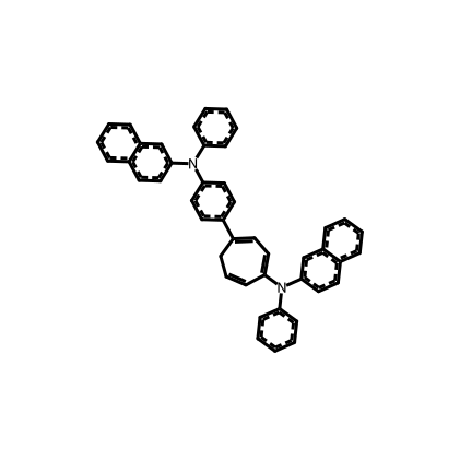 C1=CC(N(c2ccccc2)c2ccc3ccccc3c2)=CC=C(c2ccc(N(c3ccccc3)c3ccc4ccccc4c3)cc2)C1